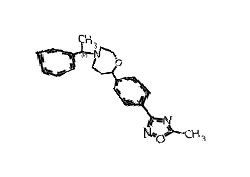 Cc1nc(-c2ccc(C3CCN([C@H](C)c4ccccc4)CCO3)cc2)no1